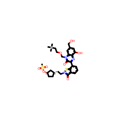 C[Si](C)(C)CCOCn1c(=O)c(-c2cccc3c(=O)n(CC[C@@H]4CC[C@@H](OS(C)(=O)=O)C4)sc23)nc2c(O)cc(CO)cc21